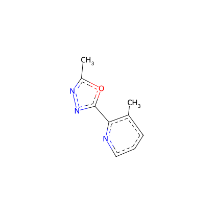 Cc1nnc(-c2ncccc2C)o1